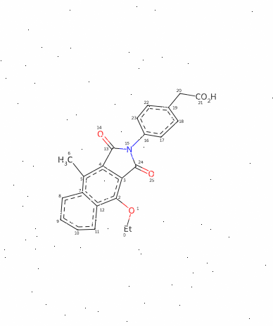 CCOc1c2c(c(C)c3ccccc13)C(=O)N(c1ccc(CC(=O)O)cc1)C2=O